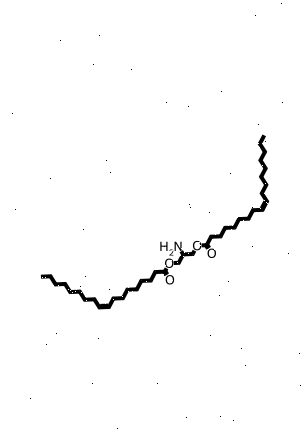 CCCCCCCC/C=C\CCCCCCCC(=O)OCC(N)COC(=O)CCCCCCC/C=C\CCCCCCCC